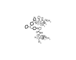 COC(=O)N[C@H](C(=O)NC(=O)[C@@H]1CCCN1c1ccc(CC(c2ccccc2)c2ccc(-c3cnc([C@@H]4CCCN4C(=O)[C@@H](NC(=O)OC)C(C)(C)C)[nH]3)cc2)cc1)C(C)(C)C